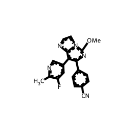 COc1nc(-c2ccc(C#N)cc2)c(-c2cnc(C)c(F)c2)c2nccn12